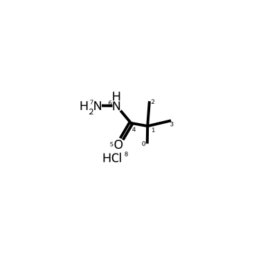 CC(C)(C)C(=O)NN.Cl